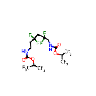 O=C(NCCC(F)(F)CC(F)(F)CNC(=O)OC(C(F)(F)F)C(F)(F)F)OC(C(F)(F)F)C(F)(F)F